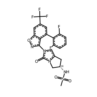 CS(=O)(=O)N[C@H]1Cc2cn(-c3noc4cc(C(F)(F)F)cc(-c5c(F)cccc5F)c34)c(=O)n2C1